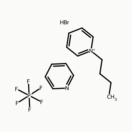 Br.CCCC[n+]1ccccc1.F[P-](F)(F)(F)(F)F.c1ccncc1